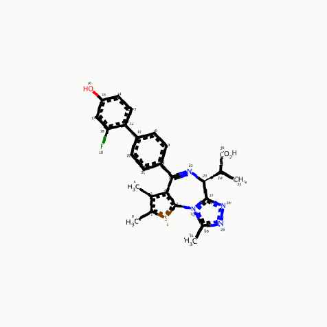 Cc1sc2c(c1C)C(c1ccc(-c3ccc(O)cc3F)cc1)=N[C@@H](C(C)C(=O)O)c1nnc(C)n1-2